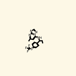 CCC(Nc1cc(C)nc2ncnn12)c1ccc(SC(F)(F)F)cc1